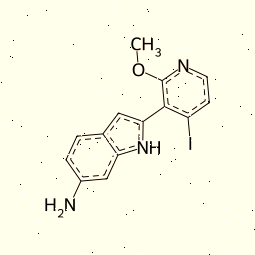 COc1nccc(I)c1-c1cc2ccc(N)cc2[nH]1